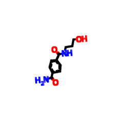 NC(=O)c1ccc(C(=O)NCCCO)cc1